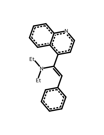 CCN(CC)C(=Cc1ccccc1)c1ccnc2ccccc12